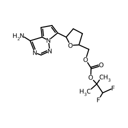 CC(C)(OC(=O)OCC1CCC(c2ccc3c(N)ncnn23)O1)C(F)F